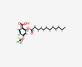 CCCCCCCCCCCC(=O)Oc1cc(OC(F)(F)F)ccc1C(=O)O